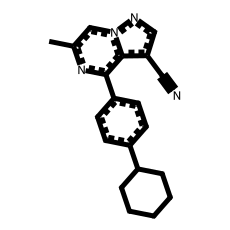 Cc1cn2ncc(C#N)c2c(-c2ccc(C3CCCCC3)cc2)n1